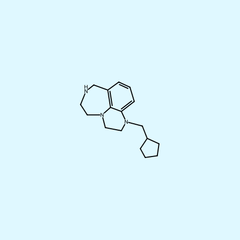 c1cc2c3c(c1)N(CC1CCCC1)CCN3CCNC2